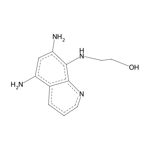 Nc1cc(N)c2cccnc2c1NCCO